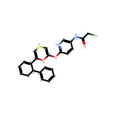 O=C(CCl)Nc1ccc(OC2=CSC=C(C3=CC=CCC3c3ccccc3)O2)nc1